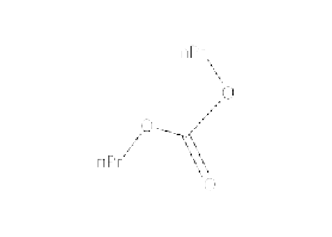 CCCOC(=O)OCCC